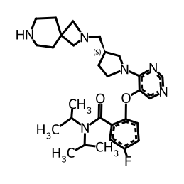 CC(C)N(C(=O)c1cc(F)ccc1Oc1cncnc1N1CC[C@@H](CN2CC3(CCNCC3)C2)C1)C(C)C